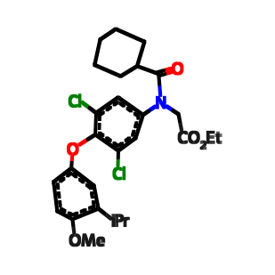 CCOC(=O)CN(C(=O)C1CCCCC1)c1cc(Cl)c(Oc2ccc(OC)c(C(C)C)c2)c(Cl)c1